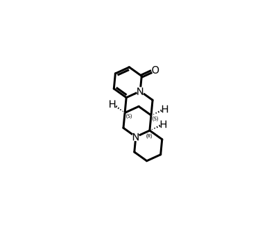 O=c1cccc2n1C[C@@H]1C[C@H]2CN2CCCC[C@H]12